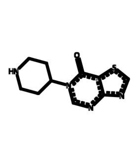 O=c1c2scnc2ncn1C1CCNCC1